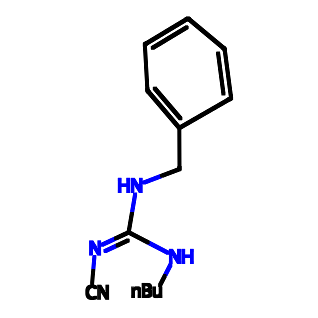 CCCCN/C(=N\C#N)NCc1ccccc1